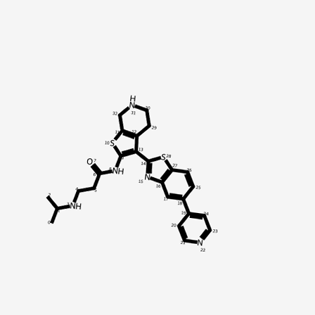 CC(C)NCCC(=O)Nc1sc2c(c1-c1nc3cc(-c4ccncc4)ccc3s1)CCNC2